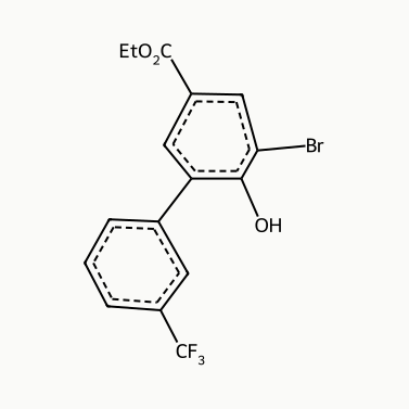 CCOC(=O)c1cc(Br)c(O)c(-c2cccc(C(F)(F)F)c2)c1